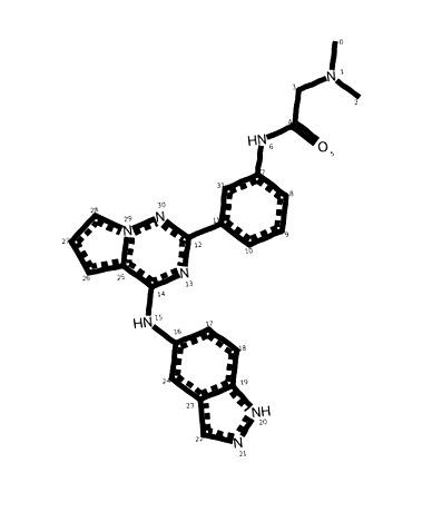 CN(C)CC(=O)Nc1cccc(-c2nc(Nc3ccc4[nH]ncc4c3)c3cccn3n2)c1